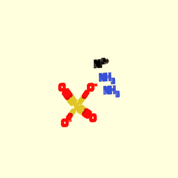 N.N.O=S(=O)([O-])[O-].[Ni+2]